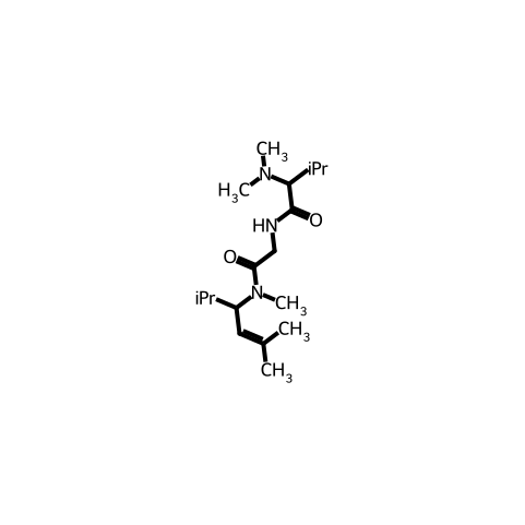 CC(C)=CC(C(C)C)N(C)C(=O)CNC(=O)C(C(C)C)N(C)C